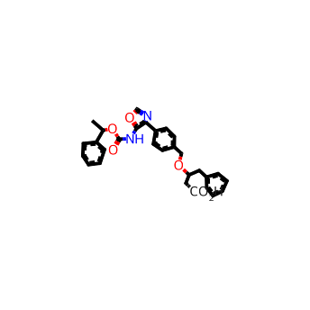 CC(OC(=O)Nc1ocnc1-c1ccc(COC(CC(=O)O)Cc2ccccc2)cc1)c1ccccc1